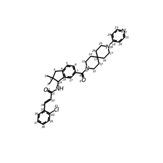 CC1(C)Cc2ccc(C(=O)N3CCC4(CC3)CCN(c3ccncc3)CC4)cc2C1NC(=O)C=Cc1ccccc1Cl